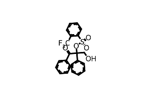 O=C(c1ccccc1)C(CO)(OS(=O)(=O)c1ccccc1C(F)(F)F)c1ccccc1